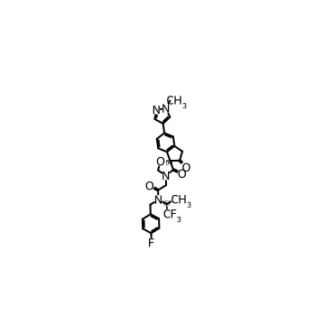 C[C@H](N(Cc1ccc(F)cc1)C(=O)CN1CO[C@]2(C(=O)Cc3cc(-c4cnn(C)c4)ccc32)C1=O)C(F)(F)F